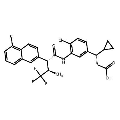 C[C@H]([C@@H](C(=O)Nc1cc([C@@H](CC(=O)O)C2CC2)ccc1Cl)c1ccc2c(Cl)cccc2c1)C(F)(F)F